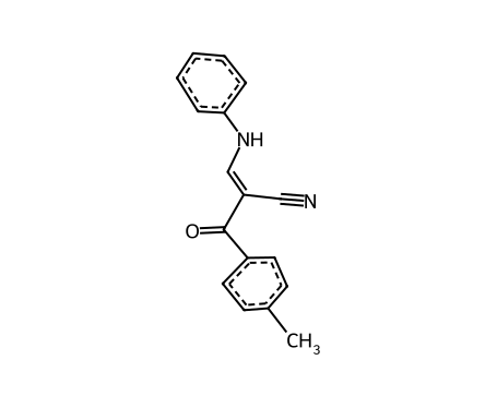 Cc1ccc(C(=O)/C(C#N)=C/Nc2ccccc2)cc1